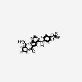 O=C(c1cc2c(Nc3ccc(OC(F)(F)F)cc3)ncnc2s1)N1CCCC1CO